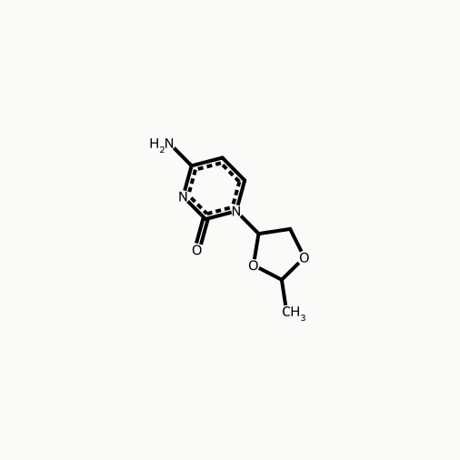 CC1OCC(n2ccc(N)nc2=O)O1